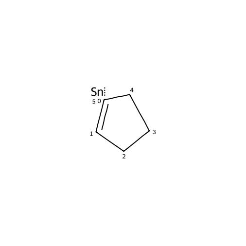 C1=CCCC1.[Sn]